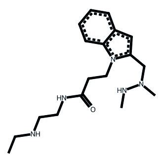 CCNCCNC(=O)CCn1c(CN(C)NC)cc2ccccc21